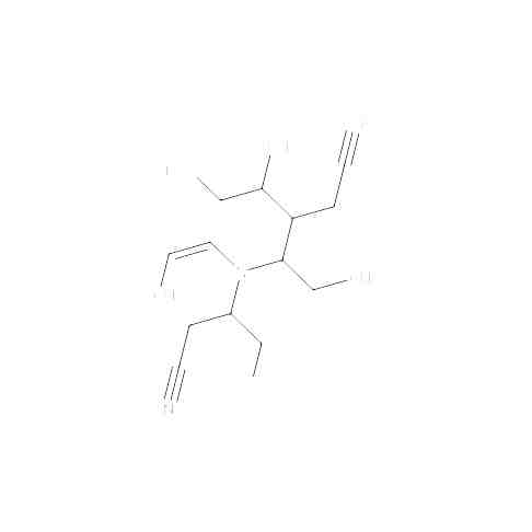 C#CCC(C(C)CC)C(CC)N(/C=C\C)C(CC)CC#N